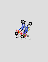 Cc1cc(C)c(Cc2csc(N3CCN(S(=O)(=O)c4cccc(C(F)(F)F)c4)CC3)n2)c(C)c1.O=S(=O)(c1ccccc1C(F)(F)F)N1CCN(c2nc(Cc3ccccc3)cs2)CC1